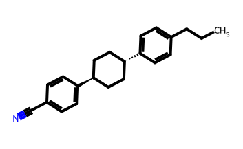 CCCc1ccc([C@H]2CC[C@H](c3ccc(C#N)cc3)CC2)cc1